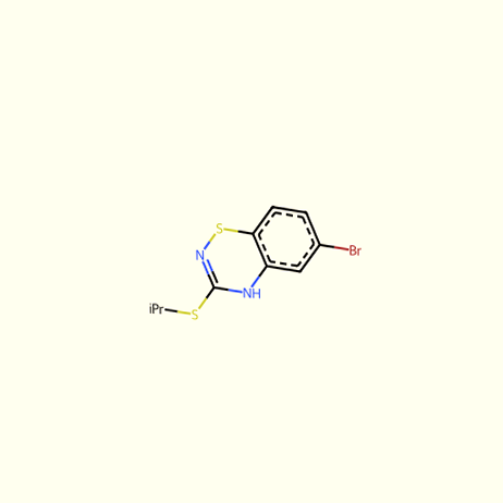 CC(C)SC1=NSc2ccc(Br)cc2N1